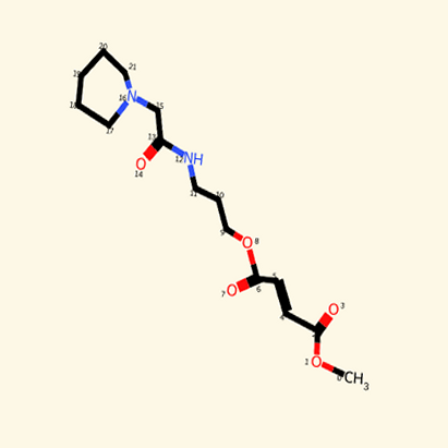 COC(=O)/C=C/C(=O)OCCCNC(=O)CN1CCCCC1